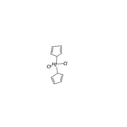 [Cl][Hf]([Cl])([CH]1C=CC=C1)[CH]1C=CC=C1